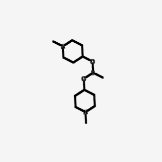 CB(OC1CCN(C)CC1)OC1CCN(C)CC1